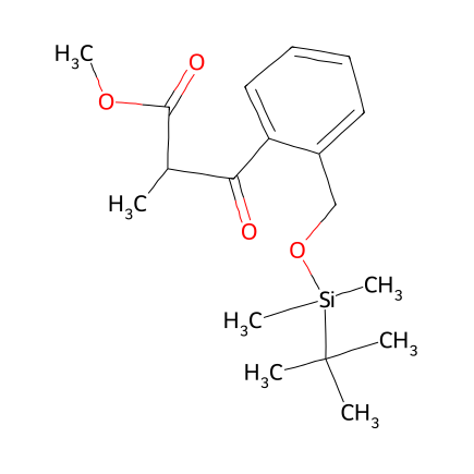 COC(=O)C(C)C(=O)c1ccccc1CO[Si](C)(C)C(C)(C)C